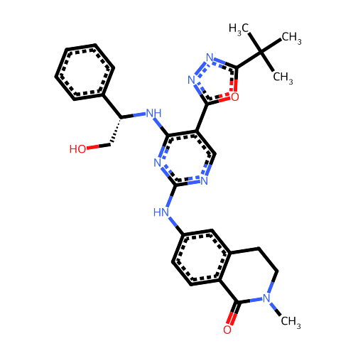 CN1CCc2cc(Nc3ncc(-c4nnc(C(C)(C)C)o4)c(N[C@H](CO)c4ccccc4)n3)ccc2C1=O